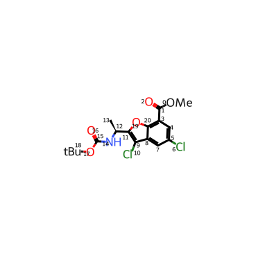 COC(=O)c1cc(Cl)cc2c(Cl)c([C@H](C)NC(=O)OC(C)(C)C)oc12